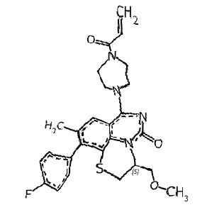 C=CC(=O)N1CCN(c2nc(=O)n3c4c(c(-c5ccc(F)cc5)c(C)cc24)SC[C@@H]3COC)CC1